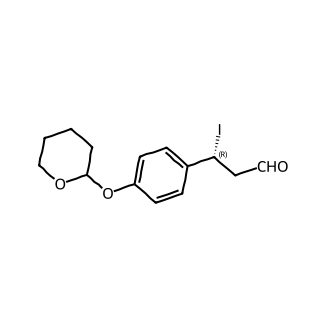 O=CC[C@@H](I)c1ccc(OC2CCCCO2)cc1